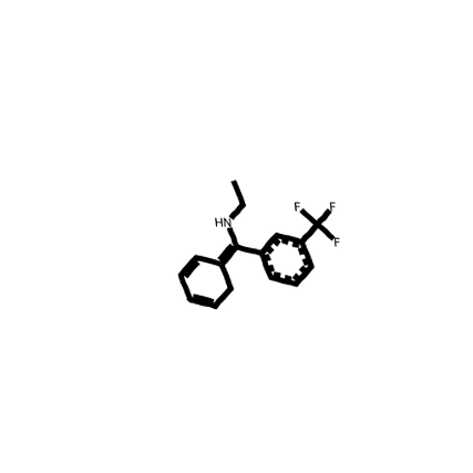 CCNC(=C1C=C[C]=CC1)c1cccc(C(F)(F)F)c1